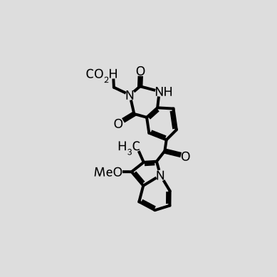 COc1c(C)c(C(=O)c2ccc3[nH]c(=O)n(CC(=O)O)c(=O)c3c2)n2ccccc12